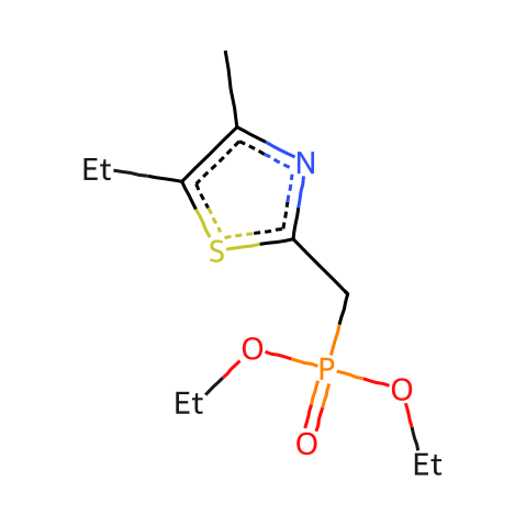 CCOP(=O)(Cc1nc(C)c(CC)s1)OCC